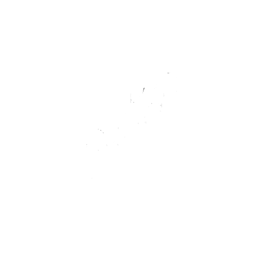 O=C(Cc1csc(-c2cccc(F)c2)n1)N[C@@H](Cc1ccccc1)C(=O)O